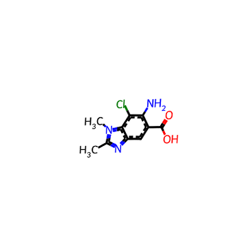 Cc1nc2cc(C(=O)O)c(N)c(Cl)c2n1C